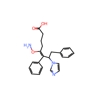 NO/C(CCCC(=O)O)=C(\c1ccccc1)C(Cc1ccccc1)n1ccnc1